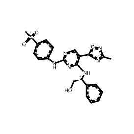 Cc1noc(-c2cnc(Nc3ccc(S(C)(=O)=O)cc3)nc2N[C@H](CO)c2ccccc2)n1